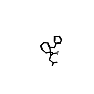 CC(C)CC1C(F)C12CC=CCC=C2Cc1ccccc1